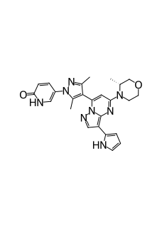 Cc1nn(-c2ccc(=O)[nH]c2)c(C)c1-c1cc(N2CCOC[C@H]2C)nc2c(-c3ccc[nH]3)cnn12